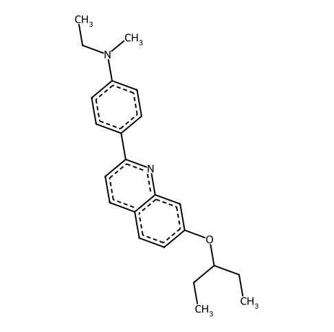 CCC(CC)Oc1ccc2ccc(-c3ccc(N(C)CC)cc3)nc2c1